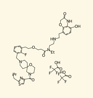 CCN(CCNCCc1ccc(O)c2c1OCC(=O)N2)C(=O)CCOCCc1cccc(CN2CCC3(CC2)CN(C(=O)c2csc(CC(C)C)n2)CCO3)c1F.O=C(O)C(F)(F)F.O=C(O)C(F)(F)F